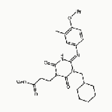 COC(=O)CCn1c(=O)[nH]/c(=N\c2ccc(OC(C)C)c(C)c2)n(CC2CCCCC2)c1=O